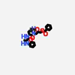 CC(C)CC(NC(=O)C(C)Nc1ccccc1)C(=O)NCC(=O)COC(=O)c1ccccc1